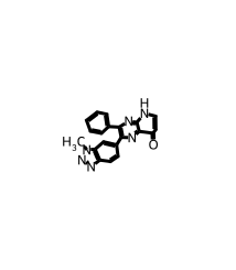 Cn1nnc2ccc(-c3nc4c(=O)cc[nH]c4nc3-c3ccccc3)cc21